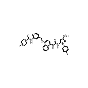 CCCCc1cc(NC(=O)Nc2ccc(OCc3ccnc(NC(=O)N4CCN(C)CC4)c3)c3ccccc23)n(-c2ccc(C)cc2)n1